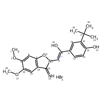 Br.COc1cc2on(/C=C(\O)c3ccc(O)c(C(C)(C)C)c3)c(=N)c2cc1OC